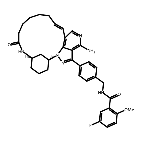 COc1ccc(F)cc1C(=O)NCc1ccc(-c2nn3c4c(cnc(N)c24)/C=C/CCCCCC(=O)N[C@@H]2CCC[C@@H]3C2)cc1